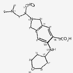 CN(C)CC(C=O)N1Cc2cc(NC3CCOCC3)c(C(=O)O)cc2C1